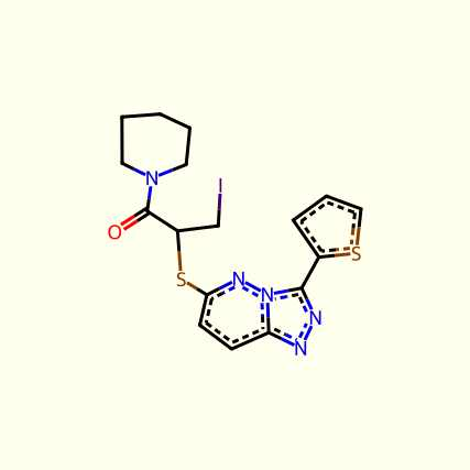 O=C(C(CI)Sc1ccc2nnc(-c3cccs3)n2n1)N1CCCCC1